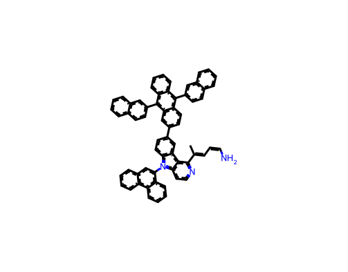 C/C(=C\C=C/N)c1nccc2c1c1cc(-c3ccc4c(-c5ccc6ccccc6c5)c5ccccc5c(-c5ccc6ccccc6c5)c4c3)ccc1n2-c1cc2ccccc2c2ccccc12